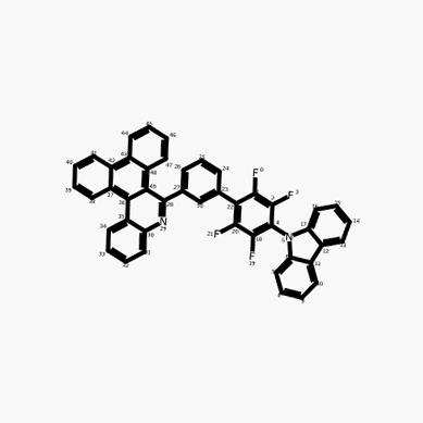 Fc1c(F)c(-n2c3ccccc3c3ccccc32)c(F)c(F)c1-c1cccc(-c2nc3ccccc3c3c4ccccc4c4ccccc4c23)c1